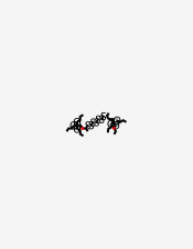 CCCO[Si](CCC(C)SSSSSSSC(C)CC[Si](OCCC)(OCCC)OCCC)(OCCC)OCCC